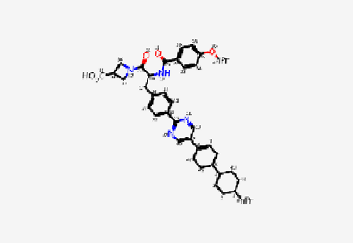 CCCC1CCC(C2CC=C(c3cnc(-c4ccc(C[C@H](NC(=O)c5ccc(OC(C)C)cc5)C(=O)N5CC(C(=O)O)C5)cc4)nc3)CC2)CC1